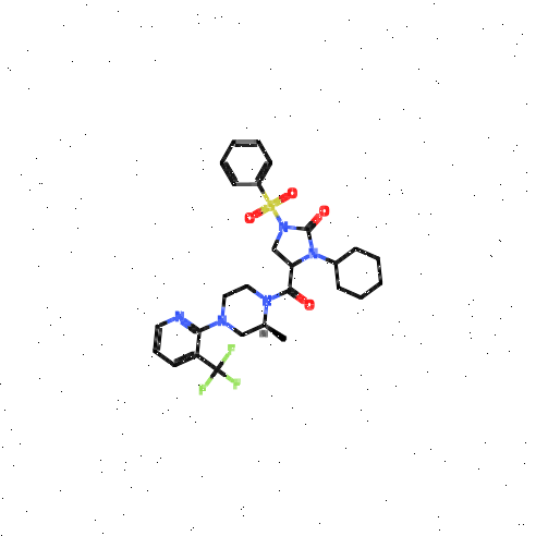 C[C@H]1CN(c2ncccc2C(F)(F)F)CCN1C(=O)C1CN(S(=O)(=O)c2ccccc2)C(=O)N1C1CCCCC1